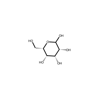 OC[C@@H]1OC(O)[C@H](O)[C@H](O)[C@@H]1O